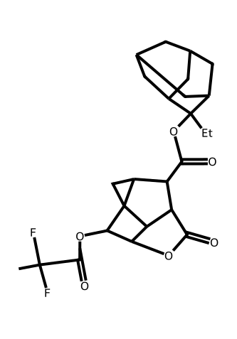 CCC1(OC(=O)C2C3C(=O)OC4C(OC(=O)C(C)(F)F)C5(CC25)C43)C2CC3CC(C2)CC1C3